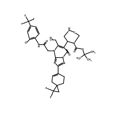 CCc1c(C2CNCCN2C(=O)OC(C)(C)C)c(=O)n2nc(C3=CCC4(CC3)CC4(F)F)nc2n1CC(=O)Nc1ccc(C(F)(F)F)cc1Cl